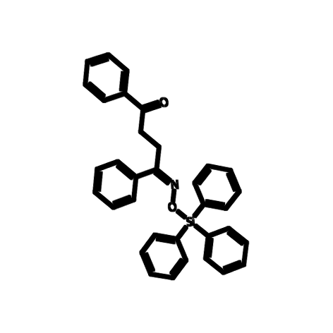 O=C(CCC(=NO[Si](c1ccccc1)(c1ccccc1)c1ccccc1)c1ccccc1)c1ccccc1